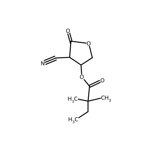 CCC(C)(C)C(=O)OC1COC(=O)C1C#N